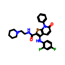 O=C(NCCN1CCCCC1)c1sc2c(ccc(=O)n2-c2ccccc2)c1Nc1ccc(F)cc1F